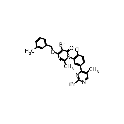 Cc1cccc(COc2nc(C)n(-c3cc(-c4nc(C(C)C)ncc4C)ccc3Cl)c(=O)c2Br)c1